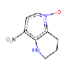 O=[N+]([O-])c1cc[n+]([O-])c2c1NCCC2